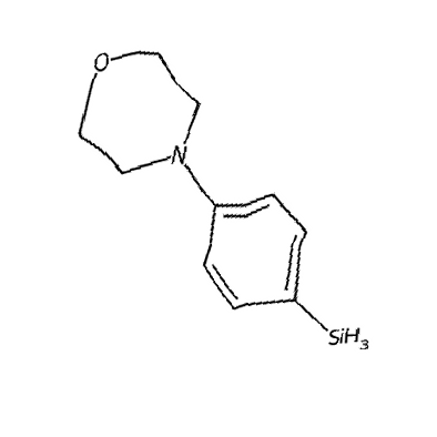 [SiH3]c1ccc(N2CCOCC2)cc1